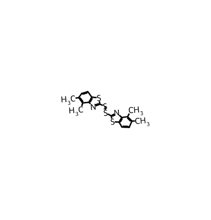 Cc1ccc2sc(SSc3nc4c(C)c(C)ccc4s3)nc2c1C